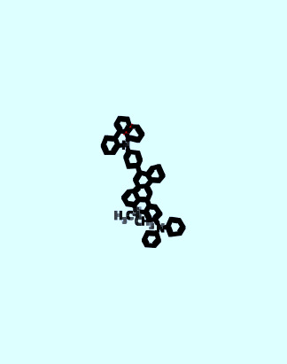 C[Si]1(C)c2cc(N(c3ccccc3)c3ccccc3)ccc2-c2cc3c4ccccc4c(-c4ccc(N(c5ccccc5)c5ccccc5-c5ccccc5)cc4)cc3c3cccc1c23